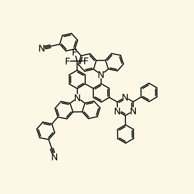 N#Cc1cccc(-c2ccc3c(c2)c2ccccc2n3-c2ccc(C(F)(F)F)cc2-c2ccc(-c3nc(-c4ccccc4)nc(-c4ccccc4)n3)cc2-n2c3ccccc3c3cc(-c4cccc(C#N)c4)ccc32)c1